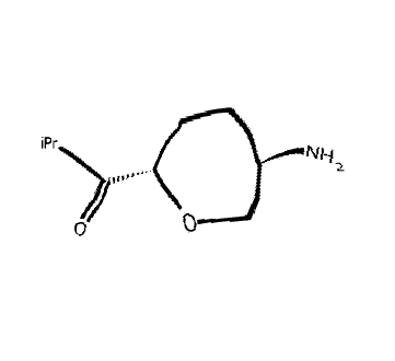 CC(C)C(=O)[C@@H]1CC[C@@H](N)CO1